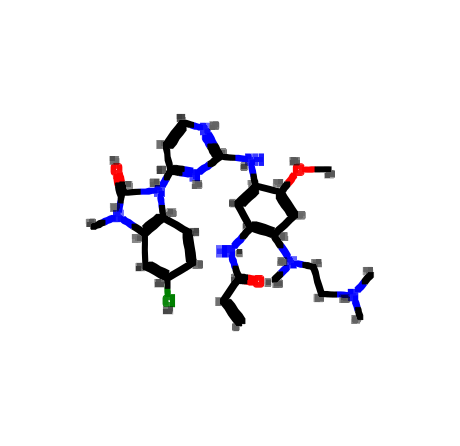 C=CC(=O)Nc1cc(Nc2nccc(-n3c(=O)n(C)c4cc(Cl)ccc43)n2)c(OC)cc1N(C)CCN(C)C